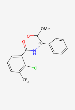 COC(=O)[C@@H](NC(=O)c1cccc(C(F)(F)F)c1Cl)c1ccccc1